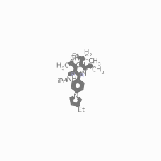 C=C(CC)CC(/N=C(\C(=C/NC(C)C)C(C)=C(C)C)c1ccc(N2CCC(CC)C2)cc1)C(=C)C